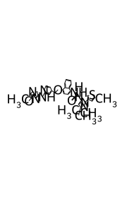 COc1cncc(Nc2cc(COc3ccc(NC(=O)Nc4cc(C(C)(C)C)nn4-c4csc(C)c4)c4ccccc34)ccn2)n1